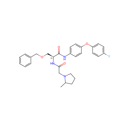 CC1CCCN1CC(=O)N[C@@H](COCc1ccccc1)C(=O)Nc1ccc(Oc2ccc(F)cc2)cc1